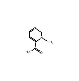 CC(=O)C1=CC=NCN1C